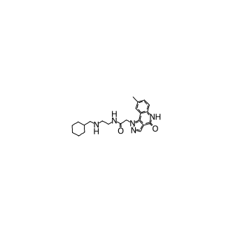 Cc1ccc2[nH]c(=O)c3cnn(CC(=O)NCCNCC4CCCCC4)c3c2c1